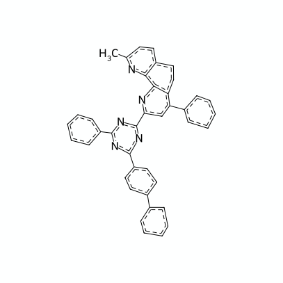 Cc1ccc2ccc3c(-c4ccccc4)cc(-c4nc(-c5ccccc5)nc(-c5ccc(-c6ccccc6)cc5)n4)nc3c2n1